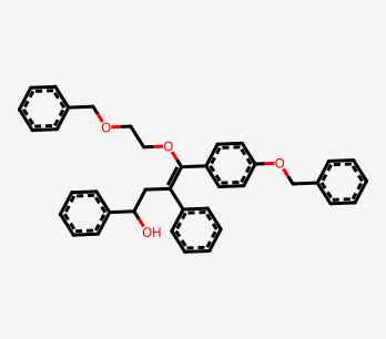 OC(CC(=C(OCCOCc1ccccc1)c1ccc(OCc2ccccc2)cc1)c1ccccc1)c1ccccc1